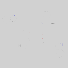 C=C(CCC(=O)O[C@@H]1[C@H](OC(=O)CCc2c[nH]c3ccccc23)C=C(C(=O)O)C[C@H]1OC(=O)CCc1c[nH]c2ccccc12)c1ccccc1N